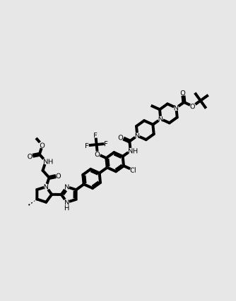 COC(=O)NCC(=O)N1C[C@@H](C)CC1c1nc(-c2ccc(-c3cc(Cl)c(NC(=O)N4CCC(N5CCN(C(=O)OC(C)(C)C)CC5C)CC4)cc3OC(F)(F)F)cc2)c[nH]1